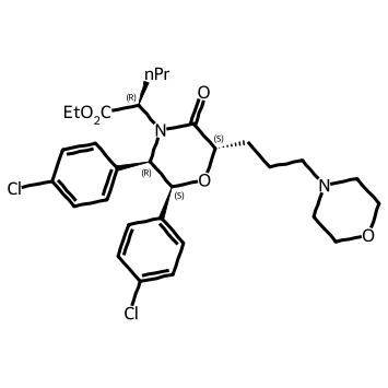 CCC[C@H](C(=O)OCC)N1C(=O)[C@H](CCCN2CCOCC2)O[C@@H](c2ccc(Cl)cc2)[C@H]1c1ccc(Cl)cc1